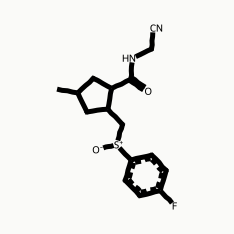 CC1CC(C[S+]([O-])c2ccc(F)cc2)C(C(=O)NCC#N)C1